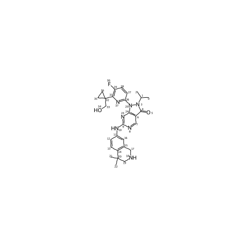 CC(C)n1c(=O)c2cnc(Nc3ccc4c(c3)CNCC4(C)C)nc2n1-c1ccc(F)c(C2(CO)CC2)n1